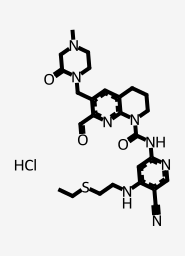 CCSCCNc1cc(NC(=O)N2CCCc3cc(CN4CCN(C)CC4=O)c(C=O)nc32)ncc1C#N.Cl